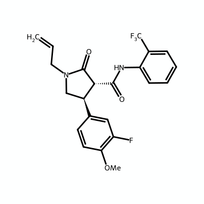 C=CCN1C[C@H](c2ccc(OC)c(F)c2)[C@@H](C(=O)Nc2ccccc2C(F)(F)F)C1=O